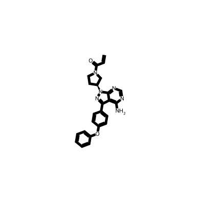 C=CC(=O)N1CC[C@H](n2nc(-c3ccc(Oc4ccccc4)cc3)c3c(N)ncnc32)C1